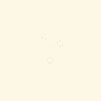 CC(OCC1(c2ccccc2)CCC(CO)(N2C=NNC2)CN1)c1cc(C(F)(F)F)cc(C(F)(F)F)c1